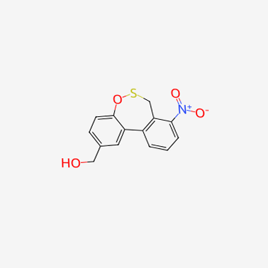 O=[N+]([O-])c1cccc2c1CSOc1ccc(CO)cc1-2